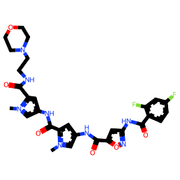 Cn1cc(NC(=O)c2cc(NC(=O)c3cc(NC(=O)c4ccc(F)cc4F)no3)cn2C)cc1C(=O)NCCN1CCOCC1